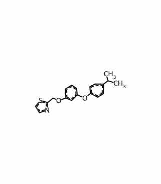 CC(C)c1ccc(Oc2cccc(OCc3nccs3)c2)cc1